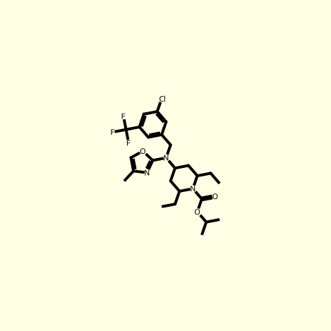 CCC1CC(N(Cc2cc(Cl)cc(C(F)(F)F)c2)c2nc(C)co2)CC(CC)N1C(=O)OC(C)C